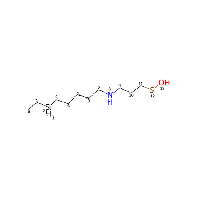 CC[SiH2]CCCCCNCCCSO